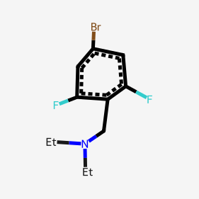 CCN(CC)Cc1c(F)cc(Br)cc1F